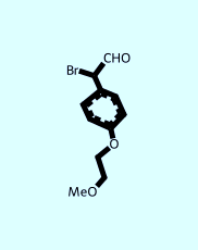 COCCOc1ccc(C(Br)C=O)cc1